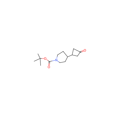 CC(C)(C)OC(=O)N1CCC(C2CC(=O)C2)CC1